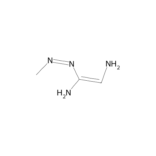 C/N=N\C(N)=C/N